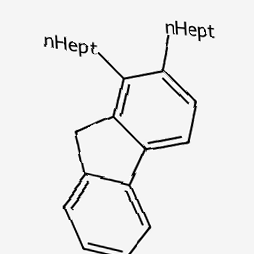 CCCCCCCc1ccc2c(c1CCCCCCC)Cc1ccccc1-2